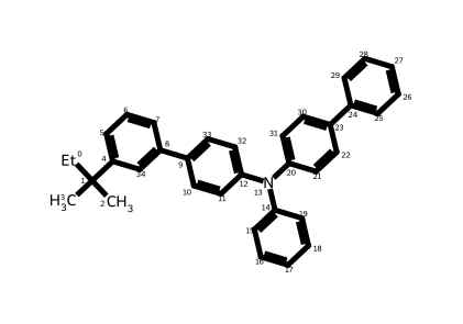 CCC(C)(C)c1cccc(-c2ccc(N(c3ccccc3)c3ccc(-c4ccccc4)cc3)cc2)c1